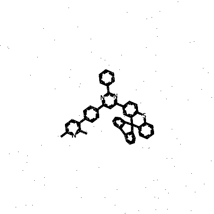 Cc1ccc(-c2ccc(-c3cc(-c4ccc5c(c4)C4(c6ccccc6S5)c5ccccc5-c5ccccc54)nc(-c4ccccc4)n3)cc2)c(C)n1